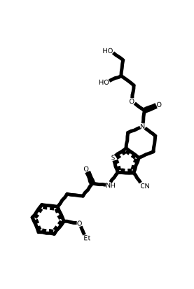 CCOc1ccccc1CCC(=O)Nc1sc2c(c1C#N)CCN(C(=O)OCC(O)CO)C2